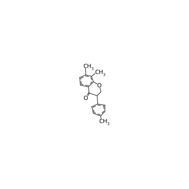 Cc1ccc(C2COc3c(ccc(C)c3C)C2=O)cc1